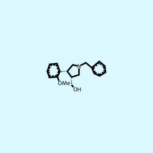 COc1ccccc1[C@@H]1CN(Cc2ccccc2)C[C@@H]1CO